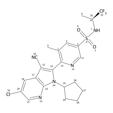 Cc1cc(S(=O)(=O)N[C@@H](C)C(F)(F)F)cnc1-c1c(C#N)c2cc(Cl)cnc2n1C1CCCC1